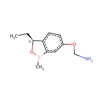 CC[C@@H]1OB(C)c2cc(OCN)ccc21